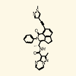 Cc1nn2cccnc2c1C(=O)N[C@H](C)c1c2c3c(ccc(C#Cc4cnn(C)c4)c3c(=O)n1-c1ccccc1)CC2